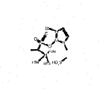 CCCC[N+](CCCC)(CCCC)C(C)S(=O)(=O)O[c+]1n(C)ccn1CC.CS(=O)(=O)O